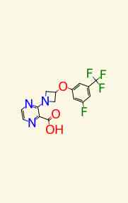 O=C(O)c1nccnc1N1CC(Oc2cc(F)cc(C(F)(F)F)c2)C1